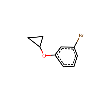 Brc1cc[c]c(OC2CC2)c1